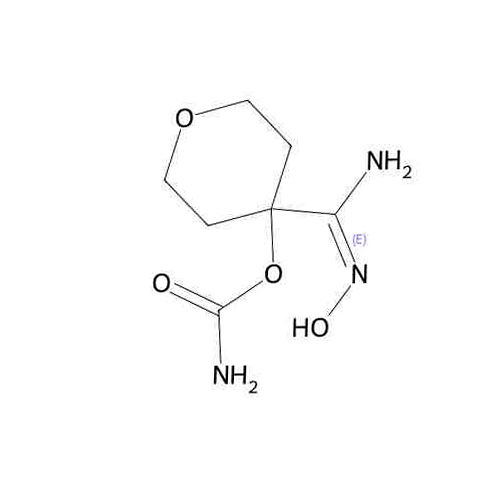 NC(=O)OC1(/C(N)=N\O)CCOCC1